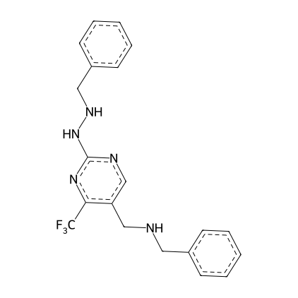 FC(F)(F)c1nc(NNCc2ccccc2)ncc1CNCc1ccccc1